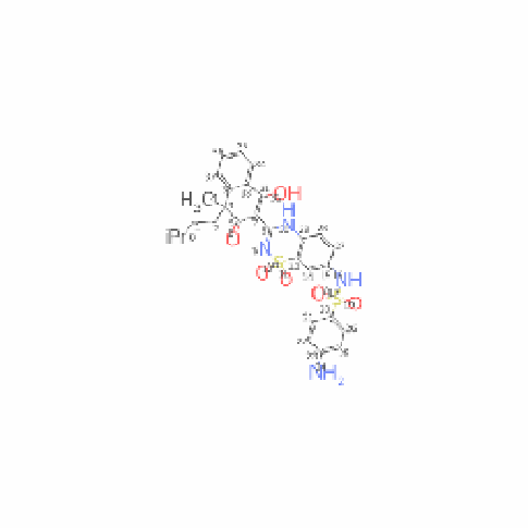 CC(C)CCC1(C)C(=O)C(C2=NS(=O)(=O)c3cc(NS(=O)(=O)c4ccc(N)cc4)ccc3N2)=C(O)c2ccccc21